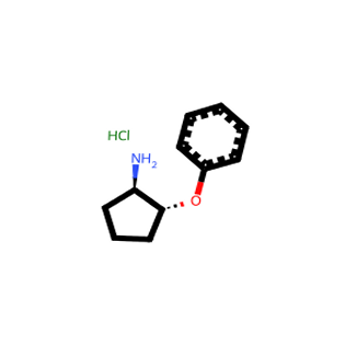 Cl.N[C@@H]1CCC[C@H]1Oc1ccccc1